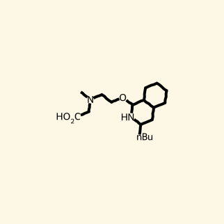 CCCCC1CC2CCCCC2C(OCCN(C)CC(=O)O)N1